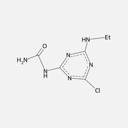 CCNc1nc(Cl)nc(NC(N)=O)n1